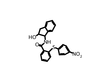 O=C(NC1c2ccccc2CC1O)c1ccccc1Sc1ccc([N+](=O)[O-])cc1